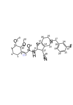 COC1CCC/C(=C/C(=O)NC2SC3=C(CN(Cc4cccc(F)c4)CC3)C2C#N)C1OC